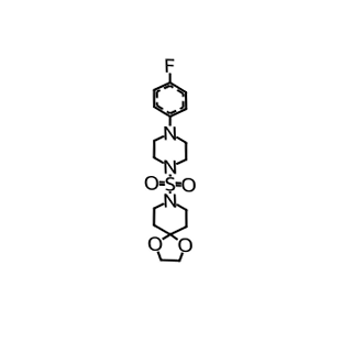 O=S(=O)(N1CCN(c2ccc(F)cc2)CC1)N1CCC2(CC1)OCCO2